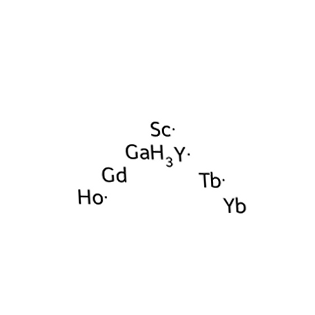 [GaH3].[Gd].[Ho].[Sc].[Tb].[Y].[Yb]